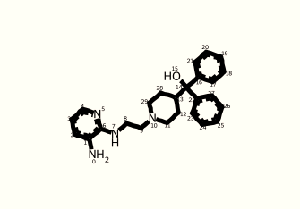 Nc1cccnc1NCCN1CCC(C(O)(c2ccccc2)c2ccccc2)CC1